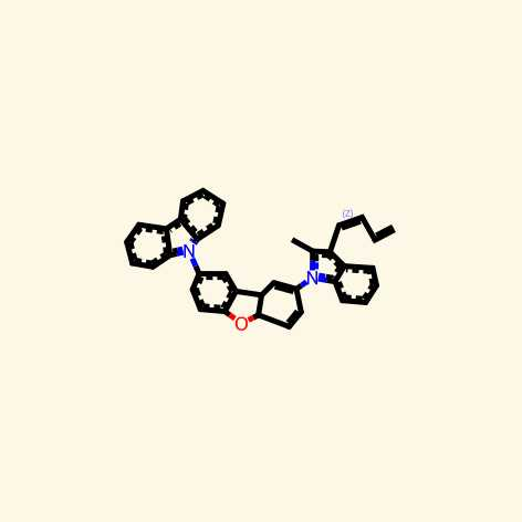 C=C/C=C\c1c(C)n(C2=CC3c4cc(-n5c6ccccc6c6ccccc65)ccc4OC3C=C2)c2ccccc12